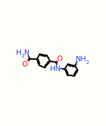 NC(=O)c1ccc(C(=O)Nc2cccc(N)c2)cc1